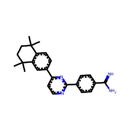 CC1(C)CCC(C)(C)c2cc(-c3ccnc(-c4ccc(C(=N)N)cc4)n3)ccc21